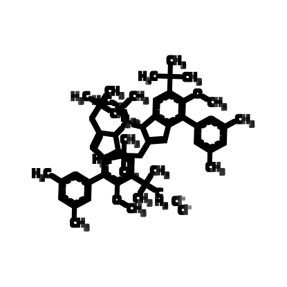 COc1c(C(C)(C)C)cc2c(c1-c1cc(C)cc(C)c1)C=C(CC(C)(C)C)[CH]2[Zr+2]([CH]1C(CC(C)(C)C)=Cc2c1cc(C(C)(C)C)c(OC)c2-c1cc(C)cc(C)c1)=[Si](C)C.[Cl-].[Cl-]